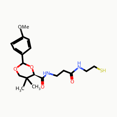 COc1ccc(C2OCC(C)(C)[C@H](C(=O)NCCC(=O)NCCS)O2)cc1